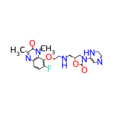 Cc1nc2ccc(F)c(OCCNC[C@H]3CN(C4=CN=CCN4)C(=O)O3)c2n(C)c1=O